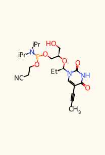 CC#Cc1cn([C@@H](CC)O[C@H](CO)COP(OCCC#N)N(C(C)C)C(C)C)c(=O)[nH]c1=O